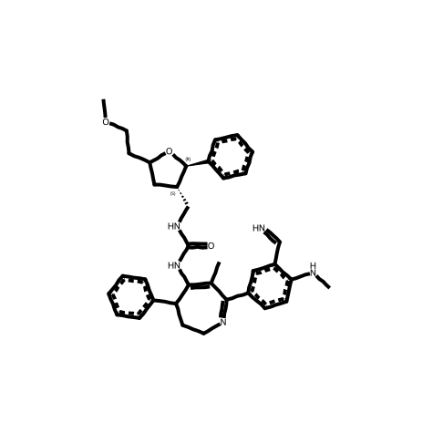 CNc1ccc(C2=NCCC(c3ccccc3)C(NC(=O)NC[C@@H]3CC(CCOC)O[C@H]3c3ccccc3)=C2C)cc1C=N